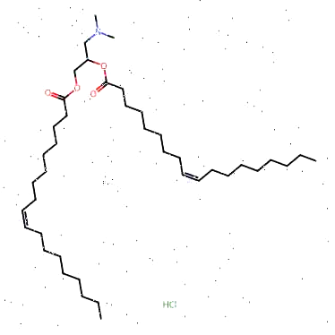 CCCCCCCC/C=C\CCCCCCCC(=O)OCC(CN(C)C)OC(=O)CCCCCCC/C=C\CCCCCCCC.Cl